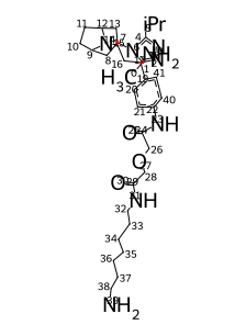 Cc1nnc(C(C)C)n1C1CC2CCC(C1)N2CCC(N)c1ccc(NC(=O)COCC(=O)NCCCCCCCN)cc1